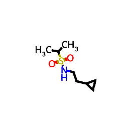 CC(C)S(=O)(=O)NCCC1CC1